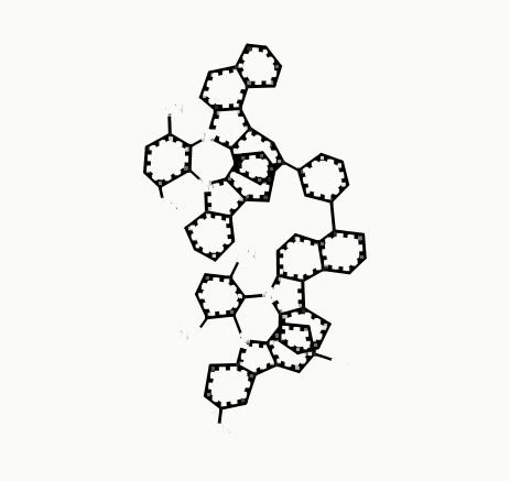 CC(C)(C)c1ccc2c(c1)c1cc(C(C)(C)C)ccc1n2-c1c(C#N)ccc(C#N)c1-n1c2ccccc2c2c3cccc(-c4cccc(-c5ccc6c(c5)c5c7ccccc7ccc5n6-c5c(C#N)ccc(C#N)c5-n5c6ccccc6c6ccccc65)c4)c3ccc21